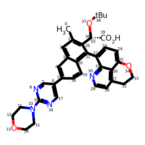 Cc1cc2cc(-c3cnc(N4CCOCC4)nc3)ccc2c(-c2ccc3c4c(ccnc24)CCO3)c1[C@H](OC(C)(C)C)C(=O)O